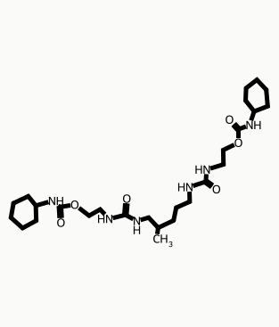 CC(CCCNC(=O)NCCOC(=O)NC1CCCCC1)CNC(=O)NCCOC(=O)NC1CCCCC1